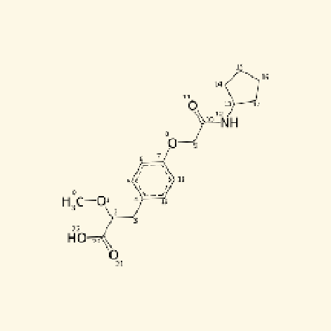 COC(Cc1ccc(OCC(=O)NC2CCCC2)cc1)C(=O)O